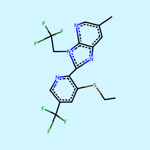 CCSc1cc(C(F)(F)F)cnc1-c1nc2cc(C)cnc2n1CC(F)(F)F